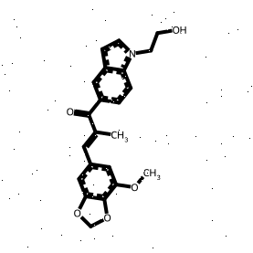 COc1cc(/C=C(\C)C(=O)c2ccc3c(ccn3CCO)c2)cc2c1OCO2